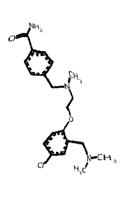 CN(C)Cc1cc(Cl)ccc1OCCN(C)Cc1ccc(C(N)=O)cc1